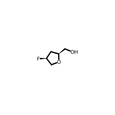 OC[C@@H]1C[C@H](F)[CH]O1